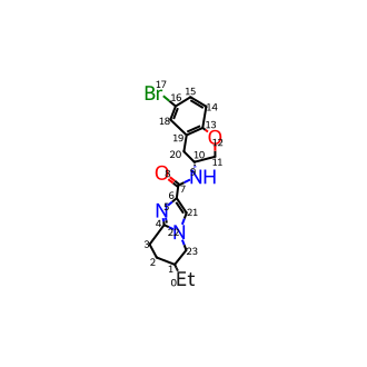 CCC1CCc2nc(C(=O)N[C@H]3COc4ccc(Br)cc4C3)cn2C1